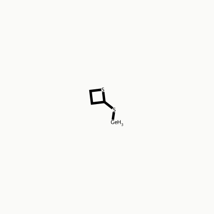 [GeH3][S]C1CCS1